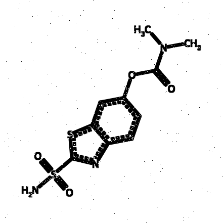 CN(C)C(=O)Oc1ccc2nc(S(N)(=O)=O)sc2c1